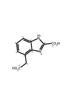 O=C(O)Cc1cccc2[nH]c(C(=O)O)nc12